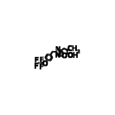 C=C(Cc1nc(Cc2ccc(OC(F)(F)C(F)F)cc2)no1)C(=O)O